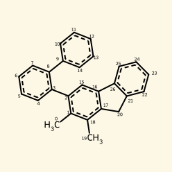 Cc1c(-c2ccccc2-c2ccccc2)cc2c(c1C)Cc1ccccc1-2